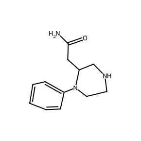 NC(=O)CC1CNCCN1c1ccccc1